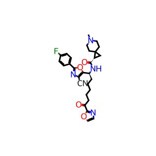 CN1CCC2(CC1)C[C@@H]2C(=O)N[C@@H](CCCCCC(=O)c1ncco1)c1oc(-c2ccc(F)cc2)nc1C#N